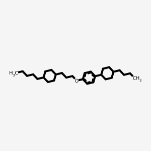 CCCCCC1CCC(CCCOc2ccc(C3CCC(CCCC)CC3)cc2)CC1